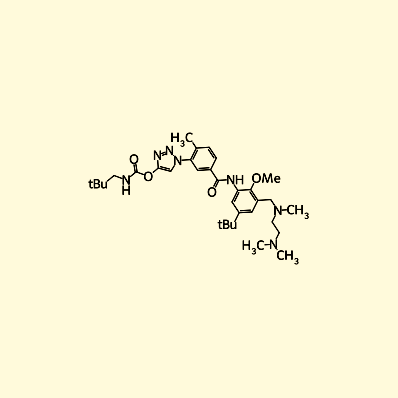 COc1c(CN(C)CCN(C)C)cc(C(C)(C)C)cc1NC(=O)c1ccc(C)c(-n2cc(OC(=O)NCC(C)(C)C)nn2)c1